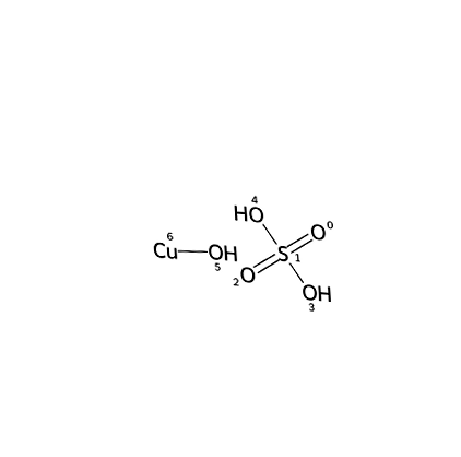 O=S(=O)(O)O.[OH][Cu]